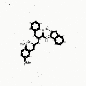 COc1ccc(OC)c(C[C@@H](O)C[C@@H](Cc2ccccc2)C(=O)N[C@H]2c3ccccc3C[C@H]2O)c1